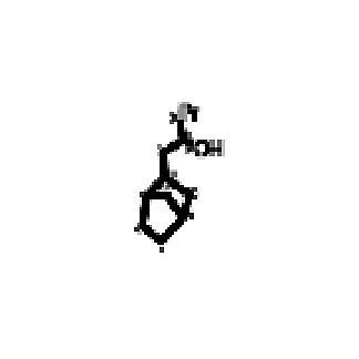 CC(C)C(O)CC1CC2CCC1C2